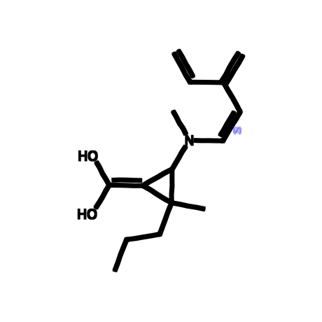 C=CC(=C)/C=C\N(C)C1C(=C(O)O)C1(C)CCC